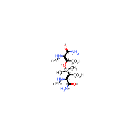 CCCNC(C(N)=O)=C(O[Si](C)(C)C(C(=O)O)=C(NCCC)C(N)=O)C(=O)O